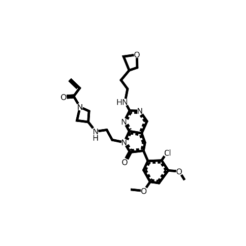 C=CC(=O)N1CC(NCCn2c(=O)c(-c3cc(OC)cc(OC)c3Cl)cc3cnc(NCCC4COC4)nc32)C1